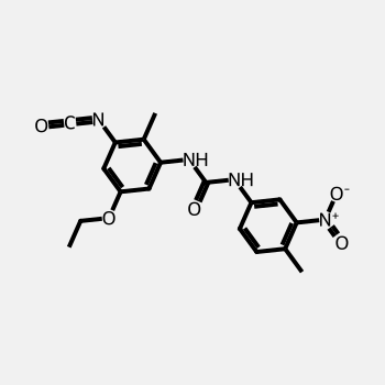 CCOc1cc(N=C=O)c(C)c(NC(=O)Nc2ccc(C)c([N+](=O)[O-])c2)c1